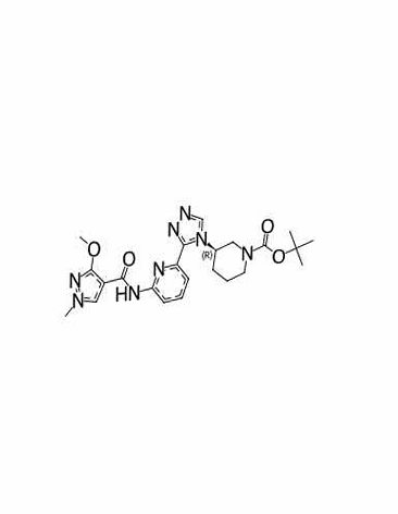 COc1nn(C)cc1C(=O)Nc1cccc(-c2nncn2[C@@H]2CCCN(C(=O)OC(C)(C)C)C2)n1